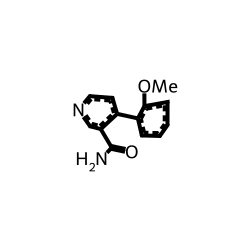 COc1ccccc1-c1ccncc1C(N)=O